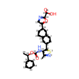 Cc1nsc(-c2ccc3cc(-c4cnc(C(=O)O)o4)ccc3c2)c1NC(=O)OC(C)c1ccccc1